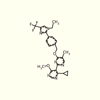 CCn1cc(C(F)(F)F)nc1-c1ccc(COc2nc(-c3c(OC)ncnc3C3CC3)ncc2C)cc1